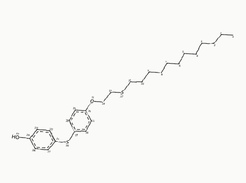 CCCCCCCCCCCCSCCOc1ccc(Sc2ccc(O)cc2)cc1